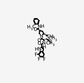 C#C[C@@H]1C[C@H](C(=O)Nc2ccccc2C)CN1C(=O)[C@H](CC(C)(C)F)NC(=O)c1cc2cc(F)c(F)c(F)c2[nH]1